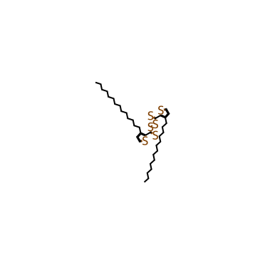 CCCCCCCCCCCCCCc1ccsc1C(=S)SSC(=S)c1sccc1CCCCCCCCCCCCCC